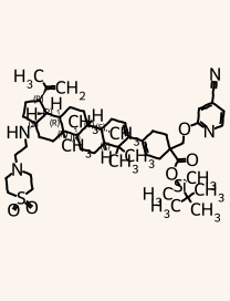 C=C(C)[C@@H]1CC[C@]2(NCCN3CCS(=O)(=O)CC3)CC[C@]3(C)[C@H](CC[C@@H]4[C@@]5(C)CC=C(C6=CCC(COc7cc(C#N)ccn7)(C(=O)O[Si](C)(C)C(C)(C)C)CC6)C(C)(C)[C@@H]5CC[C@]43C)[C@@H]12